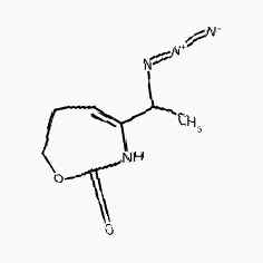 CC(N=[N+]=[N-])C1=CCCOC(=O)N1